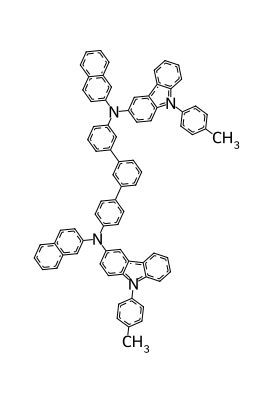 Cc1ccc(-n2c3ccccc3c3cc(N(c4ccc(-c5cccc(-c6cccc(N(c7ccc8ccccc8c7)c7ccc8c(c7)c7ccccc7n8-c7ccc(C)cc7)c6)c5)cc4)c4ccc5ccccc5c4)ccc32)cc1